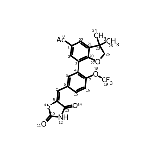 CC(=O)c1cc(-c2cc(/C=C3/SC(=O)NC3=O)ccc2OC(F)(F)F)c2c(c1)C(C)(C)CO2